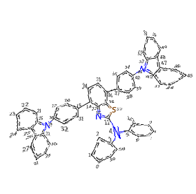 c1ccc(N(c2ccccc2)c2nc3c(-c4ccc(-n5c6ccccc6c6ccccc65)cc4)ccc(-c4ccc(-n5c6ccccc6c6ccccc65)cc4)c3s2)cc1